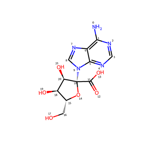 Nc1ncnc2c1ncn2[C@]1(C(=O)O)O[C@H](CO)[C@@H](O)[C@H]1O